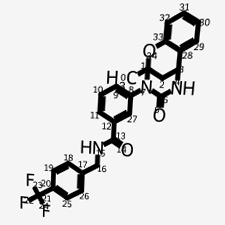 CC12CC(NC(=O)N1c1cccc(C(=O)NCc3ccc(C(F)(F)F)cc3)c1)c1ccccc1O2